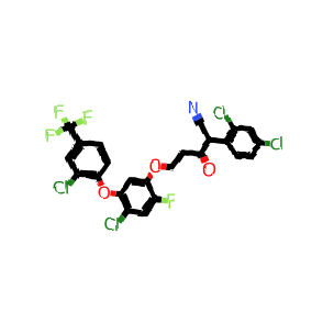 N#CC(C(=O)CCOc1cc(Oc2ccc(C(F)(F)F)cc2Cl)c(Cl)cc1F)c1ccc(Cl)cc1Cl